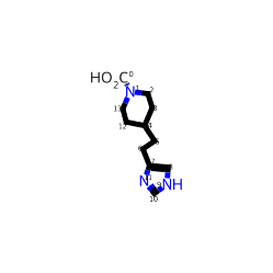 O=C(O)N1CCC(CCc2c[nH]cn2)CC1